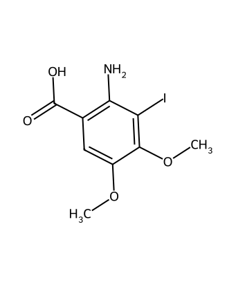 COc1cc(C(=O)O)c(N)c(I)c1OC